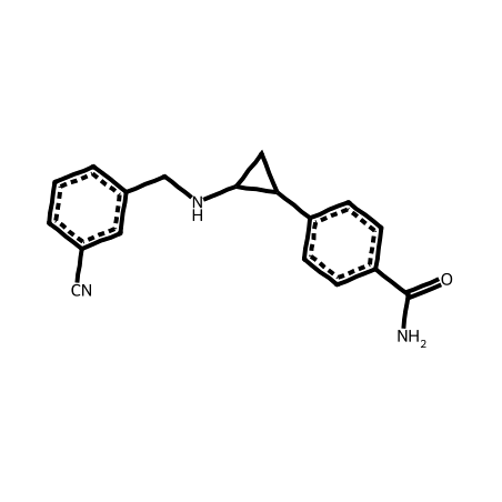 N#Cc1cccc(CNC2CC2c2ccc(C(N)=O)cc2)c1